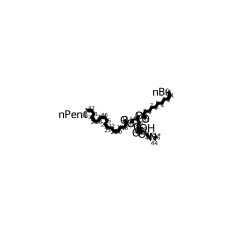 CCCC/C=C\CCCCCCCC(=O)O[C@H](COC(=O)CC/C=C\C/C=C\C/C=C\C/C=C\C/C=C\CCCCC)COP(=O)(O)OCC[N+](C)(C)C